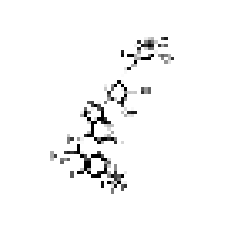 C[C@@H](Nc1cc(Cl)nc2c1cnn2[C@@H]1O[C@H](COP(=O)(O)CP(=O)(O)O)[C@@H](O)[C@H]1O)c1ccc(S(F)(F)(F)(F)F)cc1F